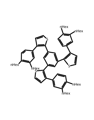 CCCCCCc1ccc(-c2ccsc2-c2cc(-c3sccc3-c3ccc(CCCCCC)c(CCCCCC)c3)cc(-c3sccc3-c3ccc(CCCCCC)c(CCCCCC)c3)c2)cc1CCCCCC